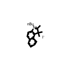 CCCC[N+]1=C(C)C(C)(C)c2c1ccc1ccccc21.[I-]